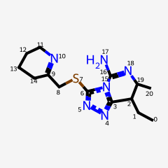 CCC1c2nnc(SCC3=NCCCC3)n2C(N)=NC1C